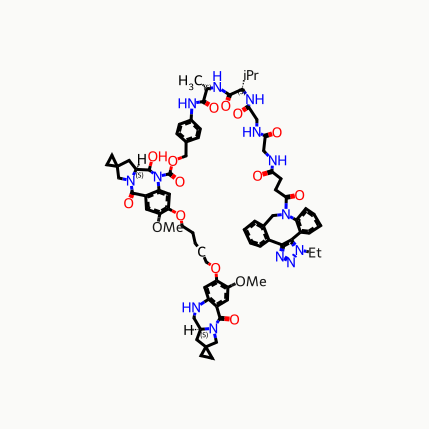 CCn1nnc2c1-c1ccccc1N(C(=O)CCC(=O)NCC(=O)NCC(=O)N[C@H](C(=O)N[C@@H](C)C(=O)Nc1ccc(COC(=O)N3c4cc(OCCCCCOc5cc6c(cc5OC)C(=O)N5CC7(CC7)C[C@H]5CN6)c(OC)cc4C(=O)N4CC5(CC5)C[C@H]4C3O)cc1)C(C)C)Cc1ccccc1-2